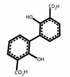 O=C(O)c1cccc(-c2cccc(C(=O)O)c2O)c1O